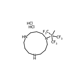 Cl.Cl.[CH3][Ti]([N]1CCCNCCCNCCC1)([C](F)(F)F)([C](F)(F)F)[C](F)(F)F